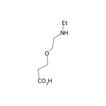 CCNCCOCCC(=O)O